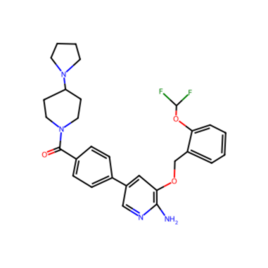 Nc1ncc(-c2ccc(C(=O)N3CCC(N4CCCC4)CC3)cc2)cc1OCc1ccccc1OC(F)F